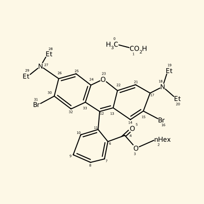 CC(=O)O.CCCCCCOC(=O)c1ccccc1C1=C2C=C(Br)C(N(CC)CC)C=C2Oc2cc(N(CC)CC)c(Br)cc21